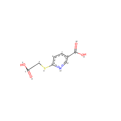 O=C(O)CSc1ccc(C(=O)O)cn1